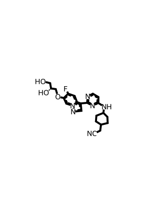 N#CCC1CCC(Nc2ccnc(-c3cnn4cc(OC[C@H](O)CO)c(F)cc34)n2)CC1